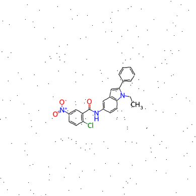 CCn1c(-c2ccccc2)cc2cc(NC(=O)c3cc([N+](=O)[O-])ccc3Cl)ccc21